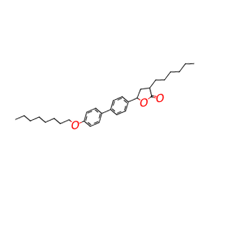 CCCCCCCCOc1ccc(-c2ccc(C3CC(CCCCCC)C(=O)O3)cc2)cc1